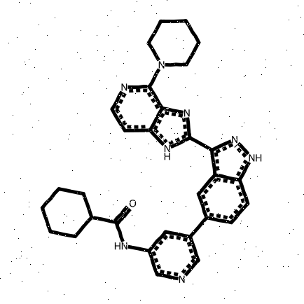 O=C(Nc1cncc(-c2ccc3[nH]nc(-c4nc5c(N6CCCCC6)nccc5[nH]4)c3c2)c1)C1CCCCC1